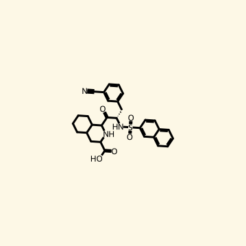 N#Cc1cccc(C[C@H](NS(=O)(=O)c2ccc3ccccc3c2)C(=O)C2NC(C(=O)O)CC3CCCCC32)c1